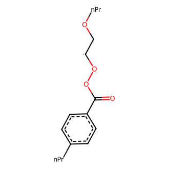 CCCOC[CH]OOC(=O)c1ccc(CCC)cc1